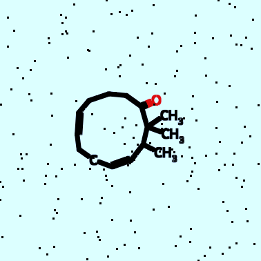 CC1/C=C\CC/C=C\CCCC(=O)C1(C)C